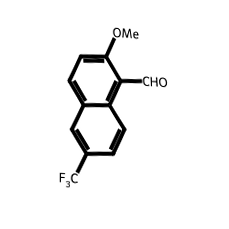 COc1ccc2cc(C(F)(F)F)ccc2c1C=O